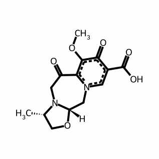 COc1c2n(cc(C(=O)O)c1=O)C[C@@H]1OC[C@H](C)N1CC2=O